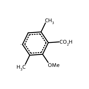 COc1c(C)[c]cc(C)c1C(=O)O